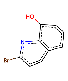 Oc1cccc2ccc(Br)nc12